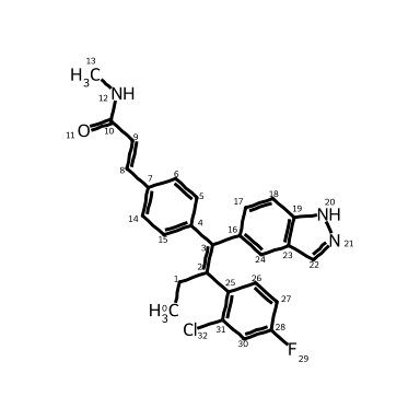 CCC(=C(c1ccc(C=CC(=O)NC)cc1)c1ccc2[nH]ncc2c1)c1ccc(F)cc1Cl